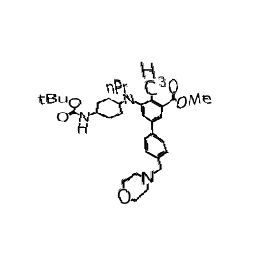 CCCN(c1cc(-c2ccc(CN3CCOCC3)cc2)cc(C(=O)OC)c1C)C1CCC(NC(=O)OC(C)(C)C)CC1